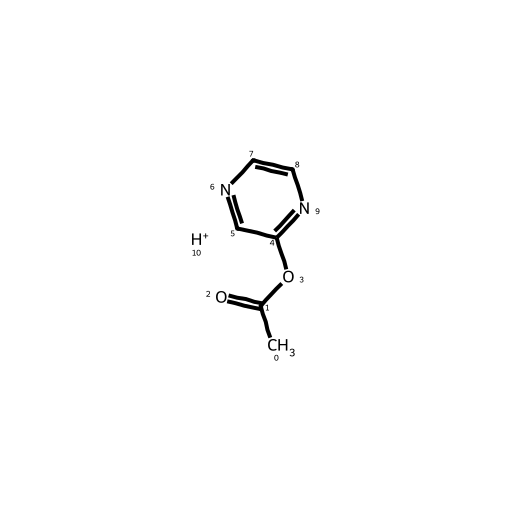 CC(=O)Oc1cnccn1.[H+]